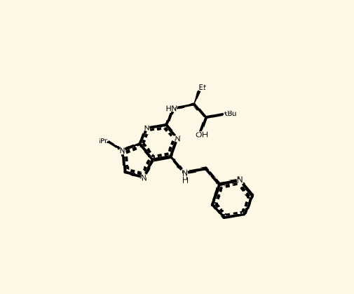 CC[C@H](Nc1nc(NCc2ccccn2)c2ncn(C(C)C)c2n1)C(O)C(C)(C)C